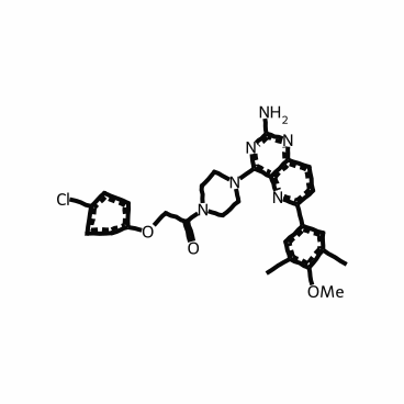 COc1c(C)cc(-c2ccc3nc(N)nc(N4CCN(C(=O)COc5ccc(Cl)cc5)CC4)c3n2)cc1C